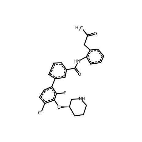 CC(=O)Cc1ccccc1NC(=O)c1cccc(-c2ccc(Cl)c(O[C@@H]3CCCNC3)c2F)c1